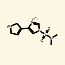 CN(C)S(=O)(=O)n1cnc(C2=CCNC2)c1.Cl